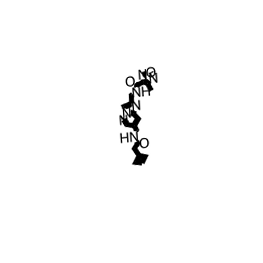 Cc1nonc1C(=O)NCc1cn2ncc(CNC(=O)CC34CC(C3)C4)cc2n1